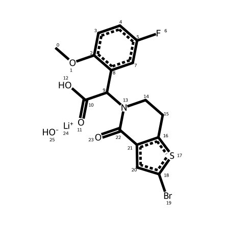 COc1ccc(F)cc1C(C(=O)O)N1CCc2sc(Br)cc2C1=O.[Li+].[OH-]